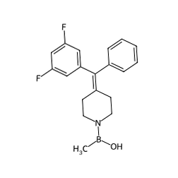 CB(O)N1CCC(=C(c2ccccc2)c2cc(F)cc(F)c2)CC1